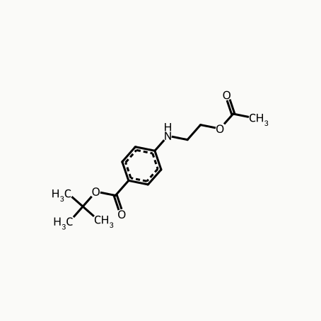 CC(=O)OCCNc1ccc(C(=O)OC(C)(C)C)cc1